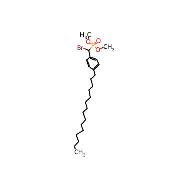 CCCCCCCCCCCCCCCc1ccc(C(Br)P(=O)(OC)OC)cc1